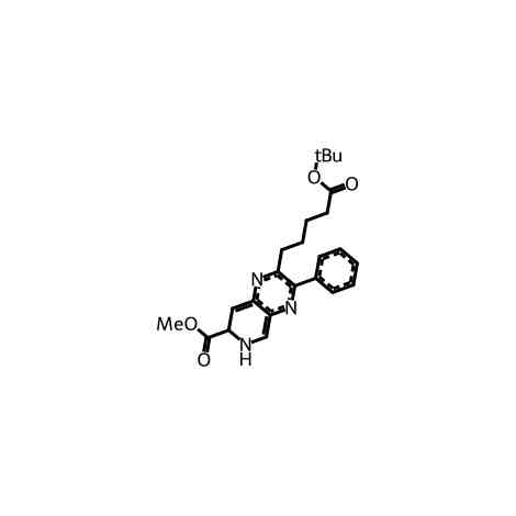 COC(=O)C1C=c2nc(CCCCC(=O)OC(C)(C)C)c(-c3ccccc3)nc2=CN1